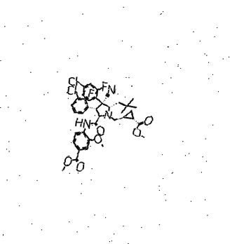 COC(=O)c1ccc(NC(=O)[C@H]2[C@H](c3cccc(Cl)c3F)[C@@](C#N)(c3ccc(Cl)cc3F)[C@H](CC(C)(C)C)N2C[C@H]2C[C@@H]2C(=O)OC)c(OC)c1